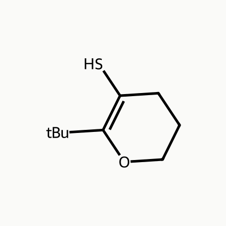 CC(C)(C)C1=C(S)CCCO1